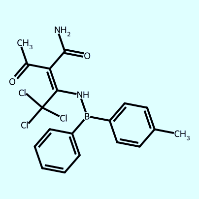 CC(=O)/C(C(N)=O)=C(/NB(c1ccccc1)c1ccc(C)cc1)C(Cl)(Cl)Cl